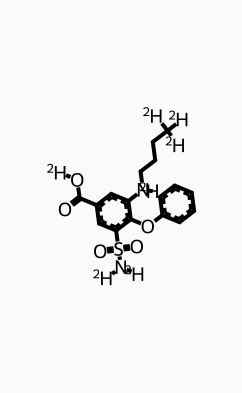 [2H]OC(=O)c1cc(N([2H])CCCC([2H])([2H])[2H])c(Oc2ccccc2)c(S(=O)(=O)N([2H])[2H])c1